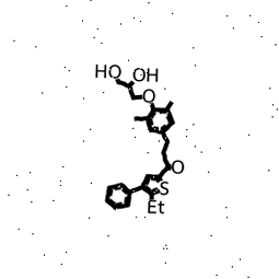 CCc1sc(C(=O)CCc2cc(C)c(OCC(O)CO)c(C)c2)cc1-c1ccccc1